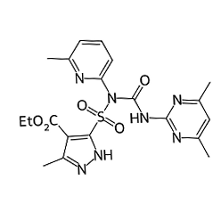 CCOC(=O)c1c(C)n[nH]c1S(=O)(=O)N(C(=O)Nc1nc(C)cc(C)n1)c1cccc(C)n1